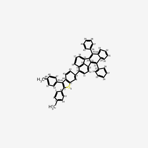 Cc1ccc(-c2sc3cc(-c4ccc5c6c(cccc46)-c4c-5c(-c5ccccc5)c5ccccc5c4-c4ccccc4)ccc3c2-c2ccc(C)cc2)cc1